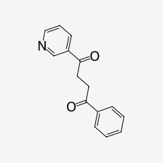 O=C(CCC(=O)c1cccnc1)c1ccccc1